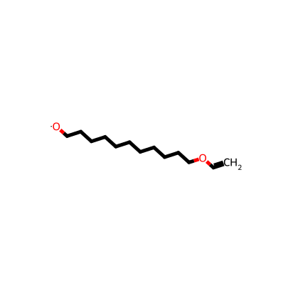 C=COCCCCCCCCCCC[O]